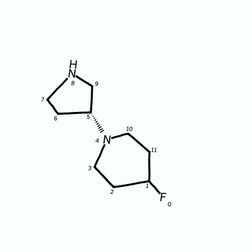 FC1CCN([C@@H]2CCNC2)CC1